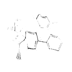 C#CCC1(S(=O)(=O)NCCC)C=CC(c2ccccc2-c2ccccc2)=CC1